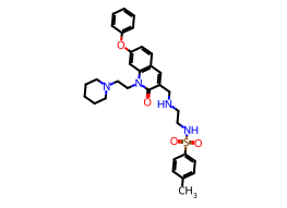 Cc1ccc(S(=O)(=O)NCCNCc2cc3ccc(Oc4ccccc4)cc3n(CCN3CCCCC3)c2=O)cc1